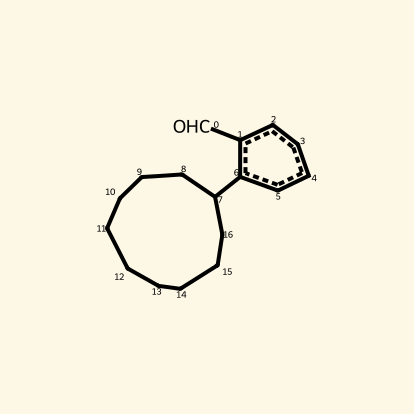 O=Cc1ccccc1C1CCCCCCCCC1